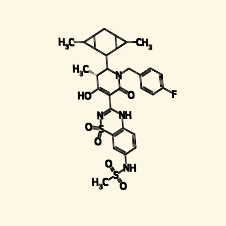 CC1C2CC3C(C)C3C(C3[C@@H](C)C(O)=C(C4=NS(=O)(=O)c5cc(NS(C)(=O)=O)ccc5N4)C(=O)N3Cc3ccc(F)cc3)C12